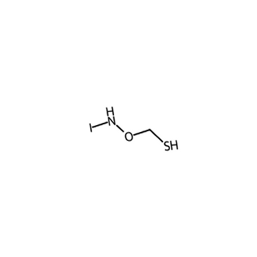 SCONI